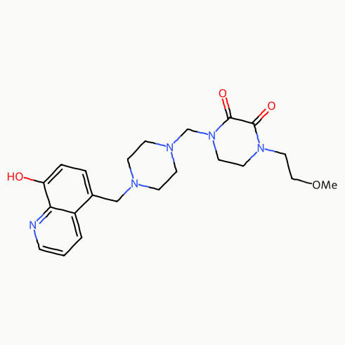 COCCN1CCN(CN2CCN(Cc3ccc(O)c4ncccc34)CC2)C(=O)C1=O